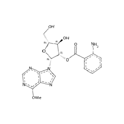 COc1ncnc2c1ncn2[C@@H]1O[C@H](CO)[C@@H](O)[C@@H]1OC(=O)c1ccccc1N